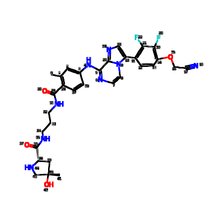 Cc1cc(Nc2nccn3c(-c4ccc(OCC#N)c(F)c4F)cnc23)ccc1C(=O)NCCCNC(=O)[C@@H]1C[C@](C)(O)CN1